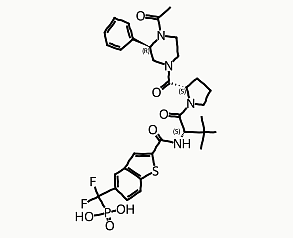 CC(=O)N1CCN(C(=O)[C@@H]2CCCN2C(=O)[C@@H](NC(=O)c2cc3cc(C(F)(F)P(=O)(O)O)ccc3s2)C(C)(C)C)C[C@H]1c1ccccc1